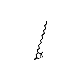 C=C(C)CC(CCCCCCCCCCCCC)C(C)=O